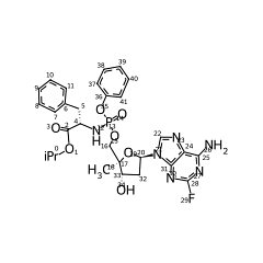 CC(C)OC(=O)[C@H](Cc1ccccc1)NP(=O)(OC[C@@]1(C)O[C@@H](n2cnc3c(N)nc(F)nc32)C[C@@H]1O)Oc1ccccc1